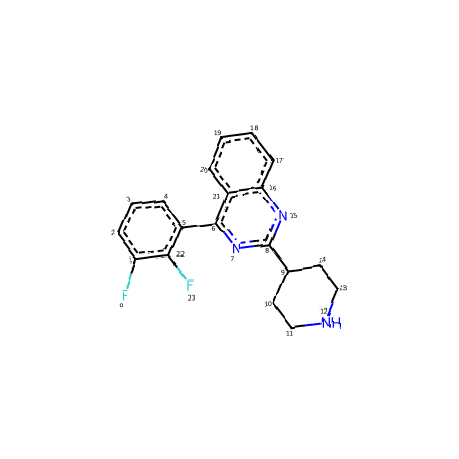 Fc1cccc(-c2nc(C3CCNCC3)nc3ccccc23)c1F